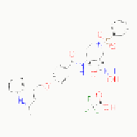 Cc1cc(COc2ccc(C(=O)N[C@@H]3CCN(S(=O)(=O)c4ccccc4)C[C@@H]3C(=O)NO)cc2)c2ccccc2n1.O=C(O)C(F)(F)F